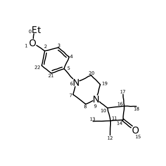 CCOc1ccc(N2CCN(C3C(C)(C)C(=O)C3(C)C)CC2)cc1